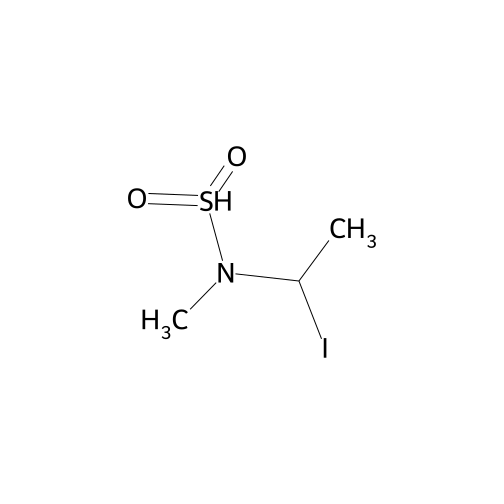 CC(I)N(C)[SH](=O)=O